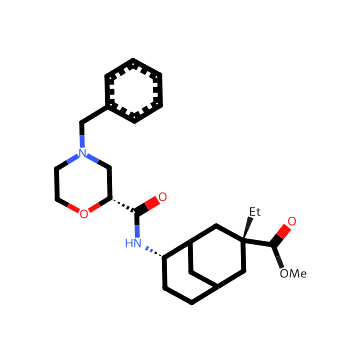 CC[C@@]1(C(=O)OC)CC2CC[C@H](NC(=O)[C@H]3CN(Cc4ccccc4)CCO3)C(C2)C1